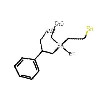 C[CH2][Sn]([CH2]C=O)([CH2]CS)[CH2]C(CNC)c1ccccc1